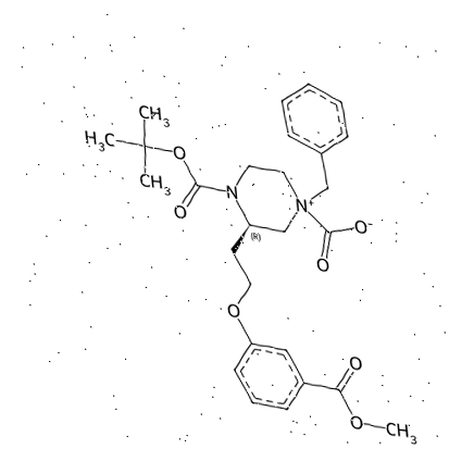 COC(=O)c1cccc(OCC[C@@H]2C[N+](Cc3ccccc3)(C(=O)[O-])CCN2C(=O)OC(C)(C)C)c1